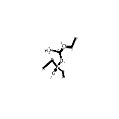 CCOC(N)OP(=O)(CC)CC